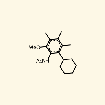 COc1c(C)c(C)c(C)c(C2CCCCC2)c1NC(C)=O